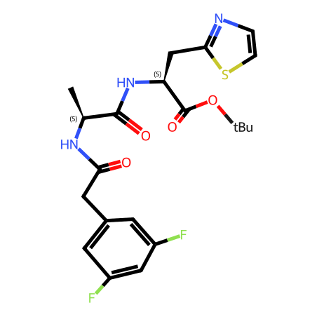 C[C@H](NC(=O)Cc1cc(F)cc(F)c1)C(=O)N[C@@H](Cc1nccs1)C(=O)OC(C)(C)C